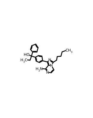 CCCCCc1nc(-c2ccc(C(O)(CC)c3ccccc3)cc2)c2c(N)nccn12